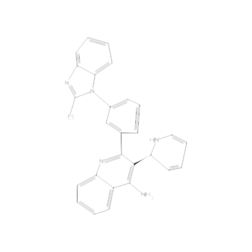 CCc1nc2ccccc2n1-c1cccc(-c2nc3ccccc3c(N)c2[C@@H]2C=CC=CN2)c1